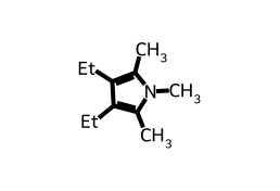 CCc1c(CC)c(C)n(C)c1C